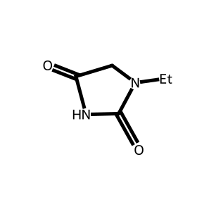 [CH2]CN1CC(=O)NC1=O